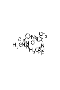 C[C@@H]1CN(Cc2cc(C(F)(F)F)c3cn(-c4cccc([C@H](c5nncn5C)C5CCC5)c4)c(=O)n3c2)CCC1(F)F